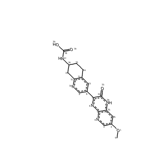 COc1cnc2nc(-c3cnc4c(c3)CCC(NC(=O)O)C4)c(=O)[nH]c2c1